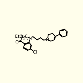 CCOC(=O)N(CCCCN1CC=C(c2ccccc2)CC1)c1cc(Cl)ccc1C(N)=O